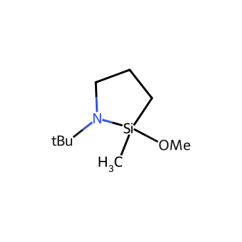 CO[Si]1(C)CCCN1C(C)(C)C